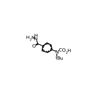 CC(C)(C)N(C(=O)O)c1ccc(C(=O)NN)cc1